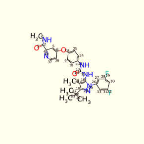 CNC(=O)c1cc(Oc2ccc(NC(=O)Nc3c(C)c(C(C)(C)C)nn3-c3cc(F)cc(F)c3)cc2)ccn1